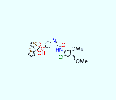 COC=Cc1cc(Cl)c(NC(=O)CCN(C)[C@H]2CC[C@H](OC(=O)C(O)(c3cccs3)c3cccs3)CC2)cc1OC